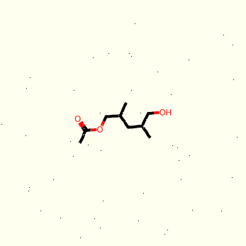 CC(=O)OCC(C)CC(C)CO